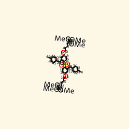 CO[Si](CCCCOc1ccc(S(=O)(=O)c2ccc(OCCCC[Si](OC)(OC)OC)cc2Cc2ccc(C)cc2)c(Cc2ccc(C)cc2)c1)(OC)OC